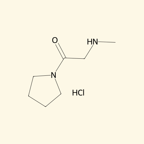 CNCC(=O)N1CCCC1.Cl